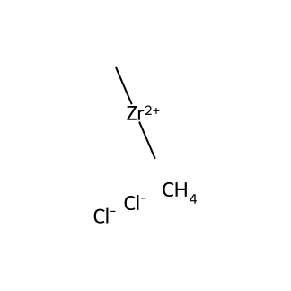 C.[CH3][Zr+2][CH3].[Cl-].[Cl-]